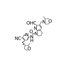 CC1OCCC1Sc1cc(NC(=O)N2CCCc3cc(CN4CCOCC4C)c(C=O)nc32)ncc1C#N